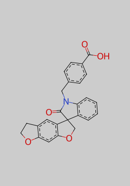 O=C(O)c1ccc(CN2C(=O)C3(COc4cc5c(cc43)CCO5)c3ccccc32)cc1